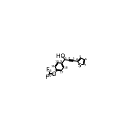 OC(C#Cc1cccs1)c1ccc(OC(F)F)cc1